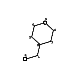 ClCC1CCOCC1